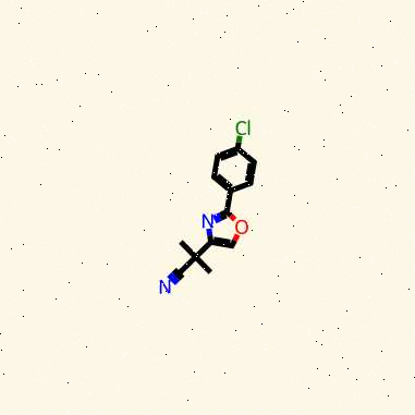 CC(C)(C#N)c1coc(-c2ccc(Cl)cc2)n1